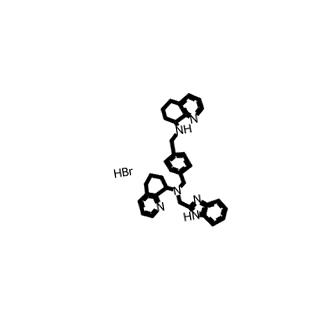 Br.c1cnc2c(c1)CCCC2NCc1ccc(CN(Cc2nc3ccccc3[nH]2)C2CCCc3cccnc32)cc1